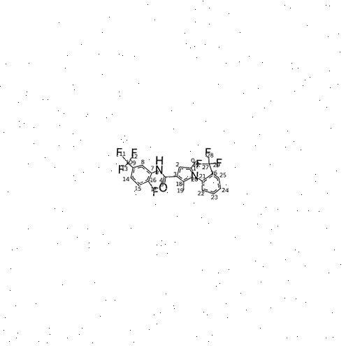 Cc1cc(C(=O)Nc2cc(C(F)(F)F)ccc2F)c(C)n1-c1ccccc1C(F)(F)F